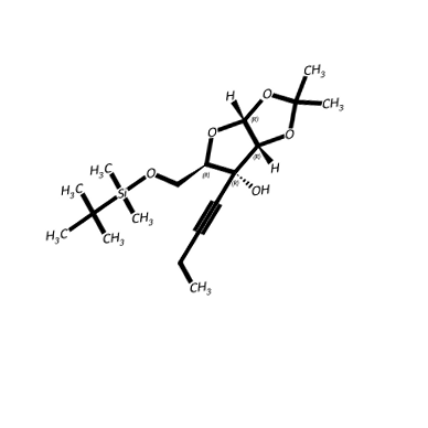 CCC#C[C@@]1(O)[C@@H](CO[Si](C)(C)C(C)(C)C)O[C@@H]2OC(C)(C)O[C@@H]21